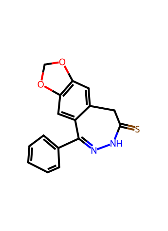 S=C1Cc2cc3c(cc2C(c2ccccc2)=NN1)OCO3